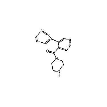 O=C(c1ccccc1-c1[c]nccc1)N1CCNCC1